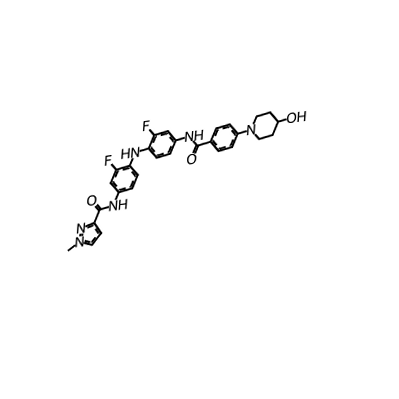 Cn1ccc(C(=O)Nc2ccc(Nc3ccc(NC(=O)c4ccc(N5CCC(O)CC5)cc4)cc3F)c(F)c2)n1